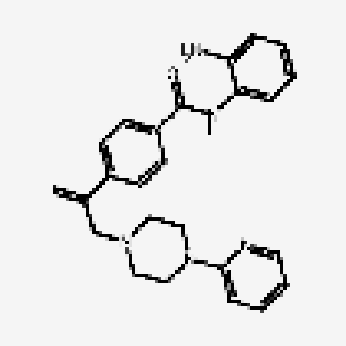 C=C(CN1CCN(c2ccccn2)CC1)c1ccc(C(=O)Nc2ccccc2N)cc1